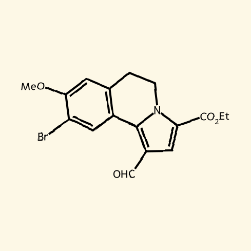 CCOC(=O)c1cc(C=O)c2n1CCc1cc(OC)c(Br)cc1-2